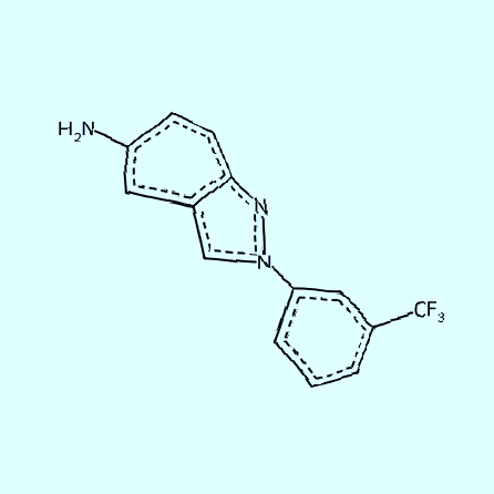 Nc1ccc2nn(-c3cccc(C(F)(F)F)c3)cc2c1